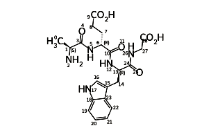 C[C@H](N)C(=O)N[C@H](CCC(=O)O)C(=O)N[C@H](Cc1c[nH]c2ccccc12)C(=O)NCC(=O)O